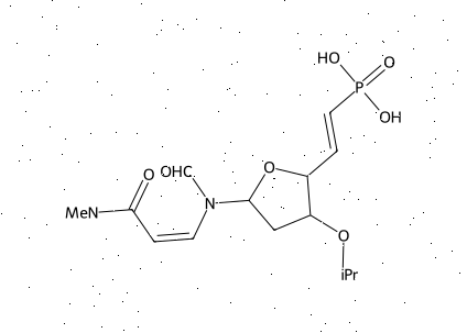 CNC(=O)/C=C\N(C=O)C1CC(OC(C)C)C(/C=C/P(=O)(O)O)O1